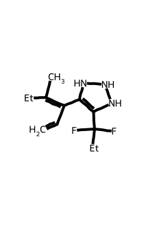 C=C/C(C1=C(C(F)(F)CC)NNN1)=C(/C)CC